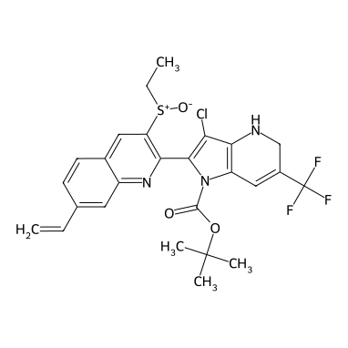 C=Cc1ccc2cc([S+]([O-])CC)c(-c3c(Cl)c4c(n3C(=O)OC(C)(C)C)C=C(C(F)(F)F)CN4)nc2c1